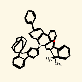 CC1(C)c2ccccc2-c2ccc(N(c3ccc4c(c3)C3(c5ccccc5-4)C4CC5CC(C4)CC3C5)c3ccc(-c4ccccc4)cc3-c3ccccc3)cc21